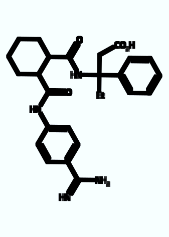 CCC(CC(=O)O)(NC(=O)C1CCCCC1C(=O)Nc1ccc(C(=N)N)cc1)c1ccccc1